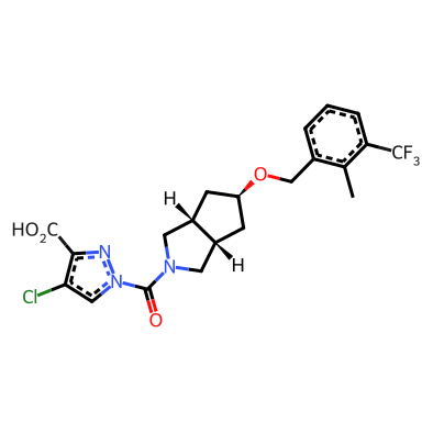 Cc1c(CO[C@H]2C[C@@H]3CN(C(=O)n4cc(Cl)c(C(=O)O)n4)C[C@@H]3C2)cccc1C(F)(F)F